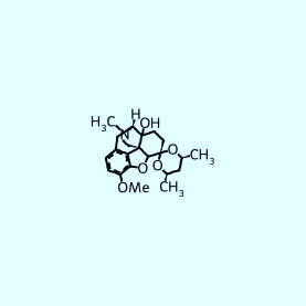 COc1ccc2c3c1OC1[C@@]4(CCC5(O)[C@@H](C2)N(C)CC[C@]315)O[C@H](C)C[C@H](C)O4